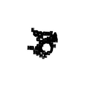 COc1cc2cc(F)ccc2c(O[C@@H]2C[C@H]3C(=O)N[C@]4(C(=O)NS(=O)(=O)C5(CF)CC5)C[C@H]4/C=C\CC[C@H](C)C[C@@H](C)[C@H](NC(=O)O)C(=O)N3C2)n1